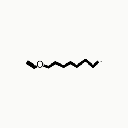 [CH2]CCCCCCCOC=C